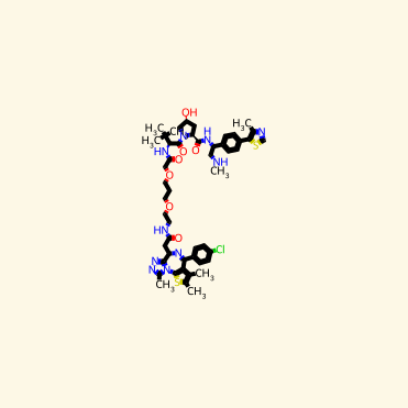 CNCC(NC(=O)[C@@H]1C[C@@H](O)CN1C(=O)[C@@H](NC(=O)COCCCOCCNC(=O)CC1N=C(c2ccc(Cl)cc2)c2c(sc(C)c2C)-n2c(C)nnc21)C(C)(C)C)c1ccc(-c2scnc2C)cc1